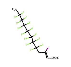 CC(=O)OC=C(I)CC(F)(F)C(F)(F)C(F)(F)C(F)(F)C(F)(F)C(F)(F)C(F)(F)C(F)(F)F